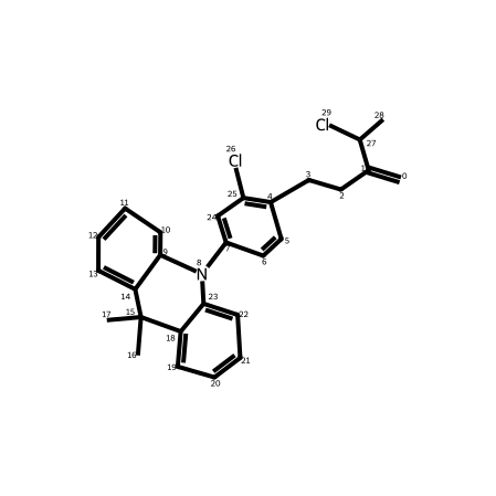 C=C(CCc1ccc(N2c3ccccc3C(C)(C)c3ccccc32)cc1Cl)C(C)Cl